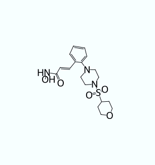 O=C(/C=C/c1ccccc1N1CCN(S(=O)(=O)C2CCOCC2)CC1)NO